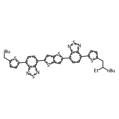 CCCCC(CC)Cc1ccc(-c2ccc(-c3cc4sc(-c5ccc(-c6ccc(CC(C)CC)s6)c6nsnc56)cc4s3)c3nsnc23)s1